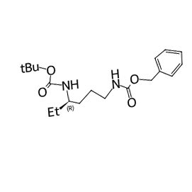 CC[C@H](CCCNC(=O)OCc1ccccc1)NC(=O)OC(C)(C)C